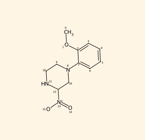 COc1ccccc1N1CCNC([N+](=O)[O-])C1